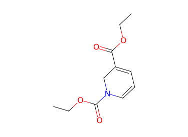 CCOC(=O)C1=CC=CN(C(=O)OCC)C1